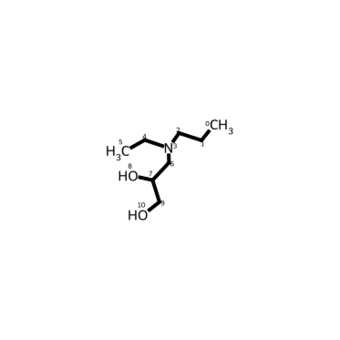 CCCN(CC)CC(O)CO